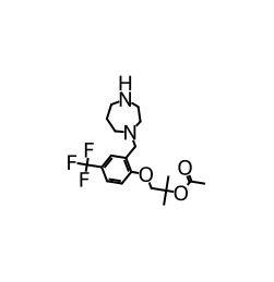 CC(=O)OC(C)(C)COc1ccc(C(F)(F)F)cc1CN1CCCNCC1